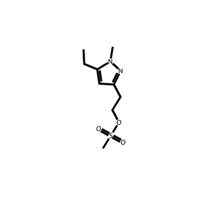 CCc1cc(CCOS(C)(=O)=O)nn1C